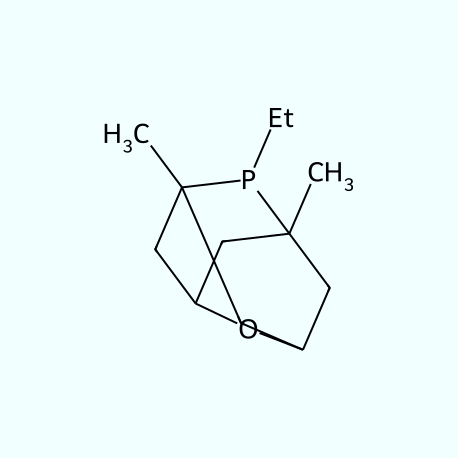 CCP1C2(C)CC3CC1(C)CC(C2)O3